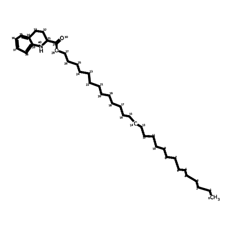 CCCCCCCCCCCCCCCCCCCCCCCCCCCCOC(=O)C1CCc2ccccc2N1